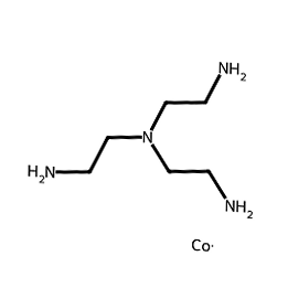 NCCN(CCN)CCN.[Co]